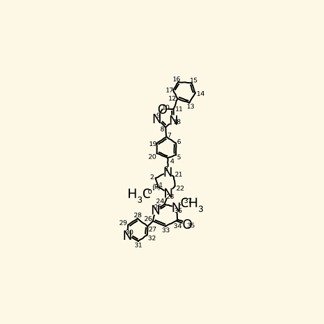 C[C@@H]1CN(c2ccc(-c3noc(-c4ccccc4)n3)cc2)CCN1c1nc(-c2ccncc2)cc(=O)n1C